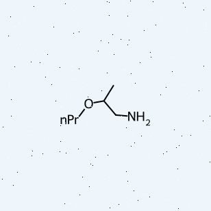 CCCOC(C)CN